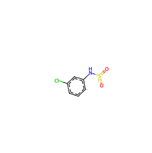 O=[SH](=O)Nc1[c]ccc(Cl)c1